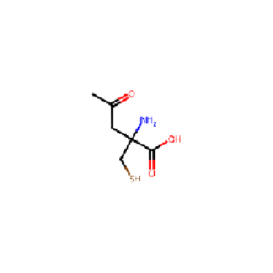 CC(=O)CC(N)(CS)C(=O)O